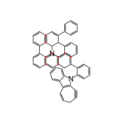 C1#Cc2c(c3ccccc3n2-c2ccccc2C2=CC=C(N(c3ccccc3-c3ccccc3)C3C=CC=C(c4ccccc4)C3c3ccccc3-c3ccccc3)CC2)C=CC1